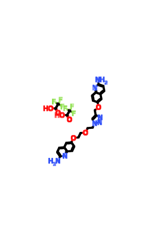 Nc1ccc2cc(OCCOCCn3cc(COc4ccc5nc(N)ccc5c4)nn3)ccc2n1.O=C(O)C(F)(F)F.O=C(O)C(F)(F)F